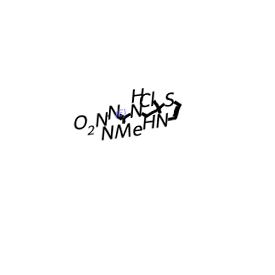 CN/C(=N\[N+](=O)[O-])NCC1(Cl)NC=CS1